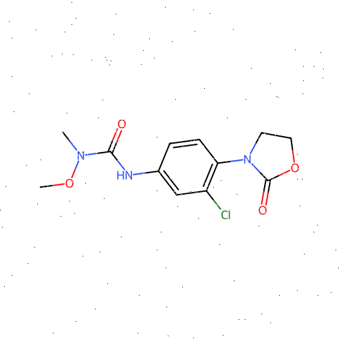 CON(C)C(=O)Nc1ccc(N2CCOC2=O)c(Cl)c1